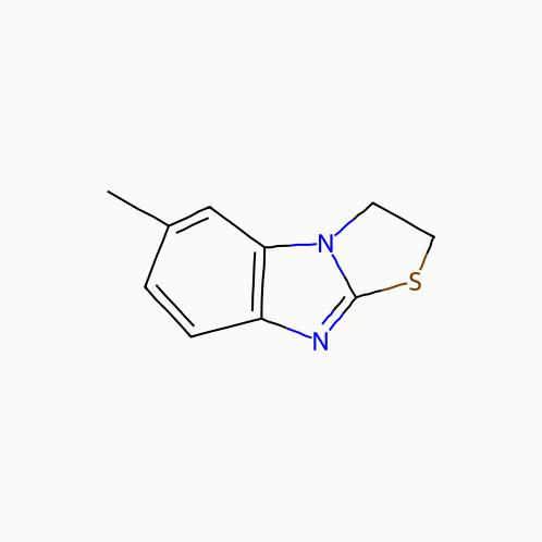 Cc1ccc2nc3n(c2c1)CCS3